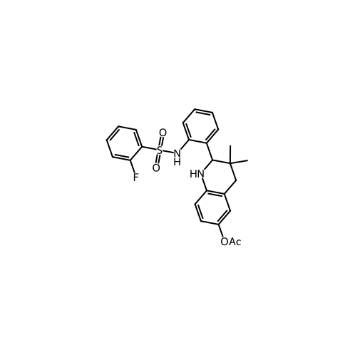 CC(=O)Oc1ccc2c(c1)CC(C)(C)C(c1ccccc1NS(=O)(=O)c1ccccc1F)N2